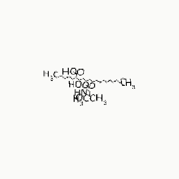 CCCCCCCCCCCC(CC(O)C(CCCCCC)C(=O)O)OC(=O)[C@@H](CC(C)C)NC=O